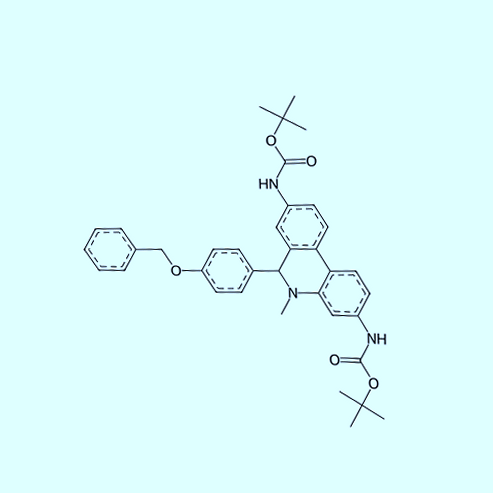 CN1c2cc(NC(=O)OC(C)(C)C)ccc2-c2ccc(NC(=O)OC(C)(C)C)cc2C1c1ccc(OCc2ccccc2)cc1